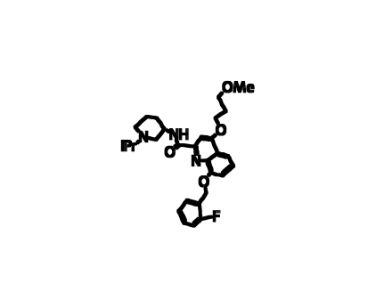 COCCCOc1cc(C(=O)N[C@@H]2CCCN(C(C)C)C2)nc2c(OCc3ccccc3F)cccc12